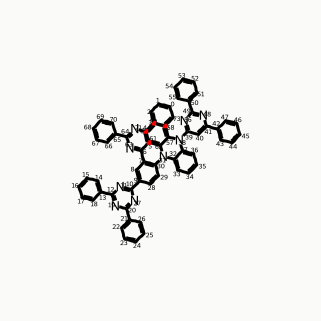 c1ccc(-c2cc(-c3cc(-c4nc(-c5ccccc5)nc(-c5ccccc5)n4)ccc3N3c4ccccc4N(c4cc(-c5ccccc5)nc(-c5ccccc5)n4)c4ccccc43)nc(-c3ccccc3)n2)cc1